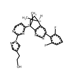 CC1(C)[C@H]2CC[C@@]1(c1ccnc(-n3cc(CCO)cn3)n1)c1nnc(-c3c(F)cccc3F)cc12